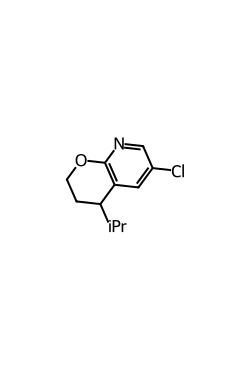 CC(C)C1CCOc2ncc(Cl)cc21